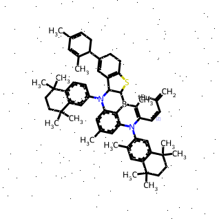 C=C(/C=C\C1=C(C)B2c3c(cc(C)cc3N(c3ccc4c(c3)C(C)(C)CCC4(C)C)C3C4=C(CCC(C5CC=C(C)C=C5C)=C4)SC23)N1c1cc2c(cc1C)C(C)(C)CCC2(C)C)C(C)(C)C